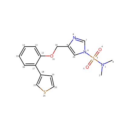 CN(C)S(=O)(=O)n1cnc(COc2ccccc2-c2ccsc2)c1